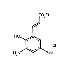 CCOC(=O)/C=C/c1cc(C(C)(C)C)cc(N)c1O.Cl